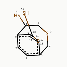 SC1CSCc2ccc1c1c2CSCC1S